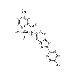 CCc1ccc(-c2nc3ccc(NC(=O)c4cc(C#N)ccc4S(=O)(=O)C(F)(F)F)cn3n2)cc1